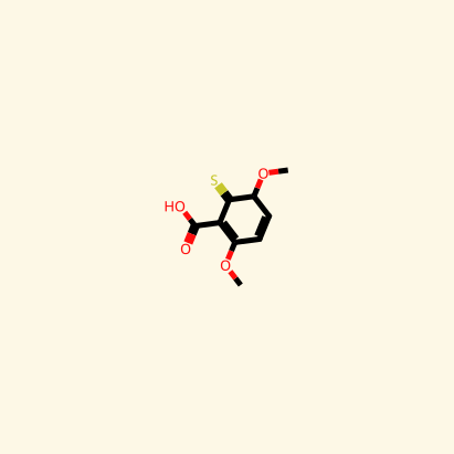 COC1=C(C(=O)O)C(=S)C(OC)C=C1